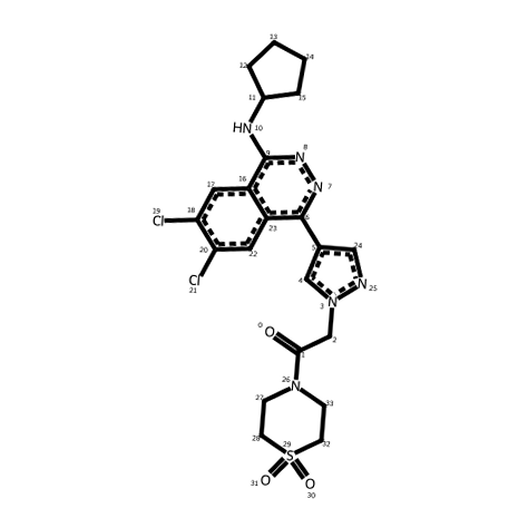 O=C(Cn1cc(-c2nnc(NC3CCCC3)c3cc(Cl)c(Cl)cc23)cn1)N1CCS(=O)(=O)CC1